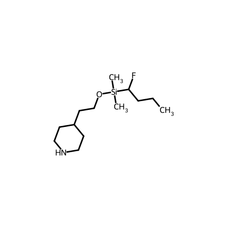 CCCC(F)[Si](C)(C)OCCC1CCNCC1